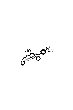 CC(C)(C#N)c1ccc(CCC2(C3CCCC3)CC(O)=C(Cc3cn4ccccc4n3)C(=O)O2)cc1F